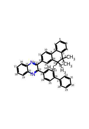 CC1(C)c2ccccc2-c2ccc(-c3nc4ccccc4nc3-c3ccc(-c4ccccc4)cc3)cc2C1(C)C